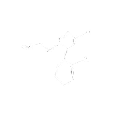 O=CCOc1ccc(Cl)cc1-c1ccccc1Cl